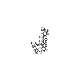 CNC(=O)c1cc(Oc2ccc3c(c2)[C@H]2[C@H](NC(=O)Nc4ccc(F)c(C(F)(F)F)c4)[C@H]2O3)ccn1